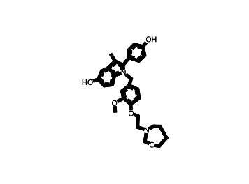 COc1cc(Cn2c(-c3ccc(O)cc3)c(C)c3cc(O)ccc32)ccc1OCCN1CCCCCC1